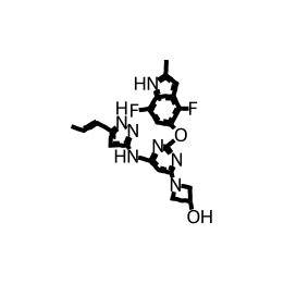 C/C=C/c1cc(Nc2cc(N3CC(O)C3)nc(Oc3cc(F)c4[nH]c(C)cc4c3F)n2)n[nH]1